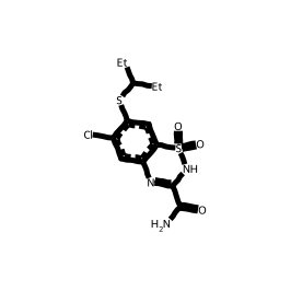 CCC(CC)Sc1cc2c(cc1Cl)N=C(C(N)=O)NS2(=O)=O